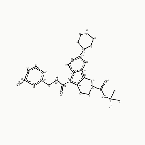 CC(C)(C)OC(=O)N1CCc2c(c3cc(N4CCSCC4)ccc3n2C(=O)NCc2ccnc(Cl)c2)C1